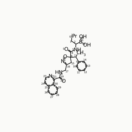 CC(C)CC(NC(=O)C1(C(C)c2ccccc2)CC(CNC(=O)c2nccc3ccccc23)=NO1)B(O)O